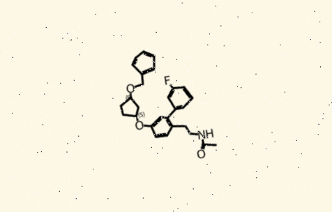 CC(=O)NCCc1ccc(O[C@H]2CC[C@@H](OCc3ccccc3)C2)cc1-c1cccc(F)c1